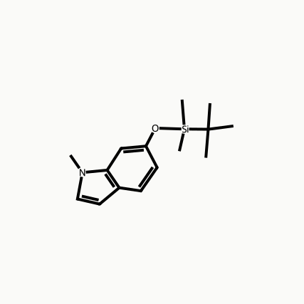 Cn1ccc2ccc(O[Si](C)(C)C(C)(C)C)cc21